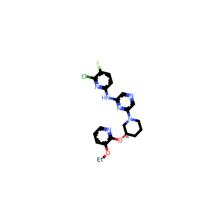 CCOc1cccnc1O[C@@H]1CCCN(c2cncc(Nc3ccc(F)c(Cl)n3)n2)C1